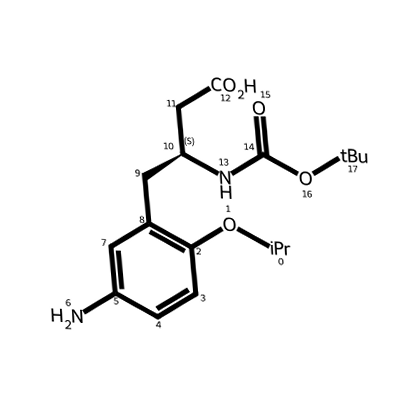 CC(C)Oc1ccc(N)cc1C[C@@H](CC(=O)O)NC(=O)OC(C)(C)C